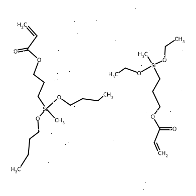 C=CC(=O)OCCC[Si](C)(OCC)OCC.C=CC(=O)OCCC[Si](C)(OCCCC)OCCCC